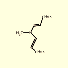 CCCCCCC=CN(C)C=CCCCCCC